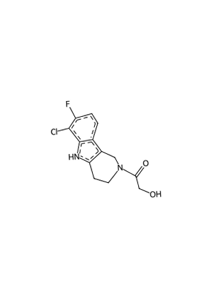 O=C(CO)N1CCc2[nH]c3c(Cl)c(F)ccc3c2C1